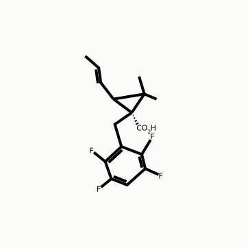 C/C=C/C1C(C)(C)[C@]1(Cc1c(F)c(F)cc(F)c1F)C(=O)O